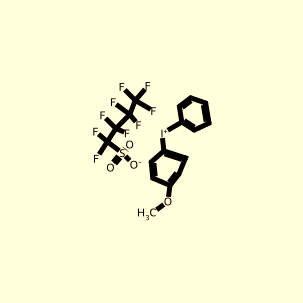 COc1ccc([I+]c2ccccc2)cc1.O=S(=O)([O-])C(F)(F)C(F)(F)C(F)(F)C(F)(F)F